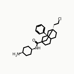 N[C@H]1CC[C@@H](NC(=O)C23CCC4CC[C@@](CCCl)(C2)C[C@@]4(c2ccccc2)C3)CC1